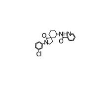 O=C(NC1CCCC2(CCN(c3cccc(Cl)c3)C2=O)C1)c1ccccn1